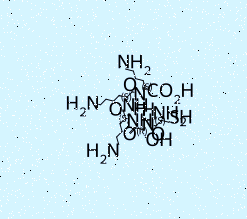 NCCCC[C@H](NC(=O)[C@H](CCCCN)NC(=O)[C@H](CCCCN)NC(=O)[C@@H](CO)NC(=O)[C@H](N)CS)C(=O)O